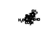 CC1=C(C(=O)O)N2C(=O)C(N(C=O)c3ccc(C)cc3)[C@H]2S(=O)(=O)C1